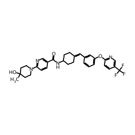 CC1(O)CCN(c2ccc(C(=O)NC3CCC(=Cc4cccc(Oc5ccc(C(F)(F)F)cn5)c4)CC3)cn2)CC1